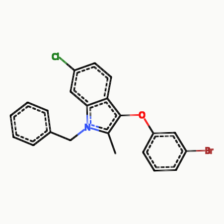 Cc1c(Oc2cccc(Br)c2)c2ccc(Cl)cc2n1Cc1ccccc1